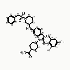 NC(=O)C1CCC(n2c(Nc3c(F)cc(F)cc3Cl)nc3cnc(NC4CCCN(S(=O)(=O)Cc5ccccc5)C4)nc32)CC1